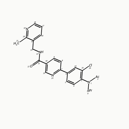 CCCN(C(C)=O)c1ccc(-c2ccc(C(=O)NCc3cccnc3C)cn2)cc1Cl